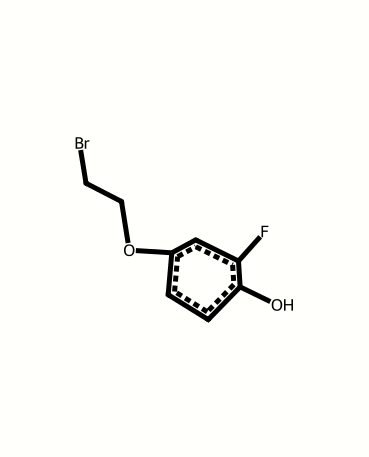 Oc1ccc(OCCBr)cc1F